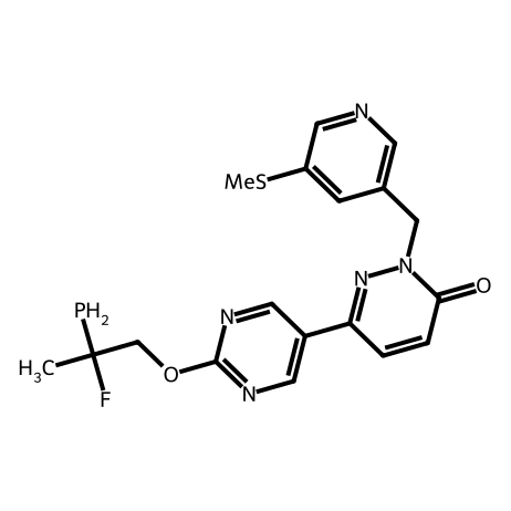 CSc1cncc(Cn2nc(-c3cnc(OCC(C)(F)P)nc3)ccc2=O)c1